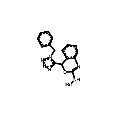 CC(C)(C)NC1=Nc2ccccc2C(c2nnnn2Cc2ccccc2)O1